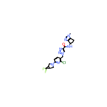 Cn1cnc2c1CC[C@H]2NC(=O)c1cn(Cc2ccc(N3CC4C(C3)C4(F)F)nc2Cl)nn1